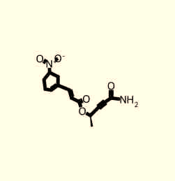 C[C@H](C#CC(N)=O)OC(=O)/C=C/C1=CCCC([N+](=O)[O-])C1